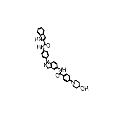 O=C(Nc1ccc2c(cnn2-c2ccc(NC(=O)c3cc4ccccc4[nH]3)cc2)c1)c1ccc(N2CCC(O)CC2)cc1